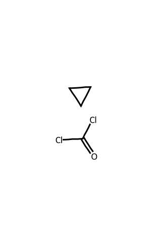 C1CC1.O=C(Cl)Cl